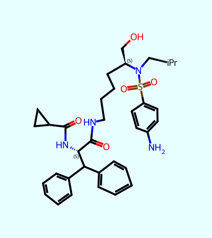 CC(C)CN([C@H](CO)CCCCNC(=O)[C@@H](NC(=O)C1CC1)C(c1ccccc1)c1ccccc1)S(=O)(=O)c1ccc(N)cc1